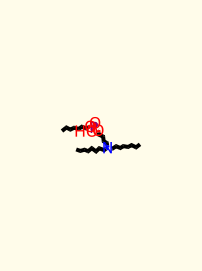 CCCCCCCCN(CCCCCCCC)CCCCOP(=O)(O)OCCCCCCC